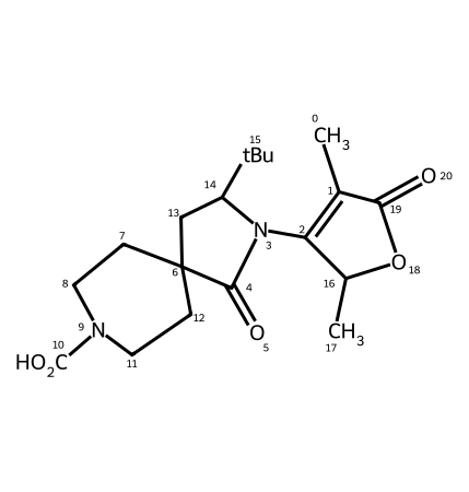 CC1=C(N2C(=O)C3(CCN(C(=O)O)CC3)CC2C(C)(C)C)C(C)OC1=O